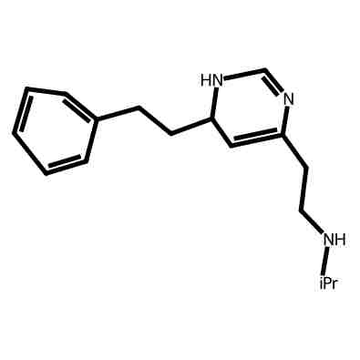 CC(C)NCCC1=CC(CCc2ccccc2)NC=N1